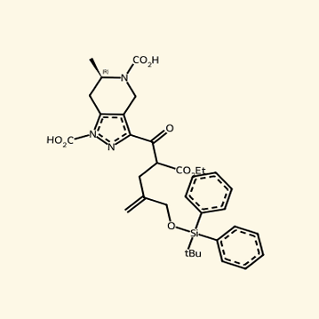 C=C(CO[Si](c1ccccc1)(c1ccccc1)C(C)(C)C)CC(C(=O)OCC)C(=O)c1nn(C(=O)O)c2c1CN(C(=O)O)[C@H](C)C2